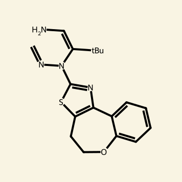 C=NN(/C(=C\N)C(C)(C)C)c1nc2c(s1)CCOc1ccccc1-2